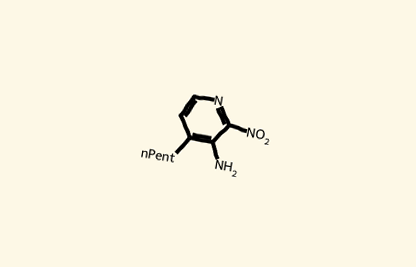 CCCCCc1ccnc([N+](=O)[O-])c1N